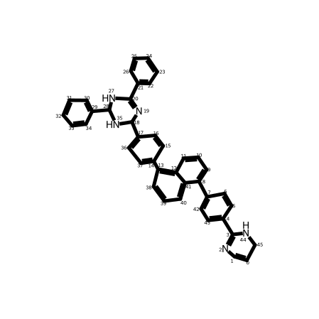 C1=CN=C(c2ccc(-c3cccc4c(-c5ccc(C6N=C(c7ccccc7)NC(c7ccccc7)N6)cc5)cccc34)cc2)NC1